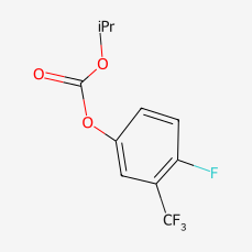 CC(C)OC(=O)Oc1ccc(F)c(C(F)(F)F)c1